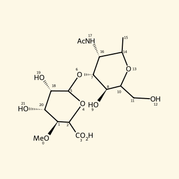 CO[C@@H]1C(C(=O)O)OC(O[C@H]2[C@H](O)C(CO)OC(C)[C@H]2NC(C)=O)[C@@H](O)[C@H]1O